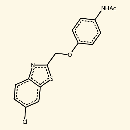 CC(=O)Nc1ccc(OCc2nc3ccc(Cl)cc3s2)cc1